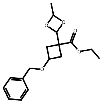 CCOC(=O)C1(C2OC(C)O2)CC(OCc2ccccc2)C1